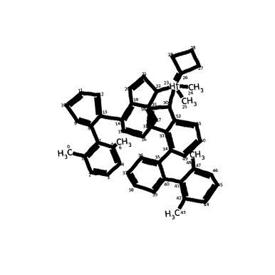 Cc1cccc(C)c1-c1ccccc1-c1cccc2c1C=C[CH]2[Hf]([CH3])([CH3])(=[C]1CCC1)[CH]1C=Cc2c(-c3ccccc3-c3c(C)cccc3C)cccc21